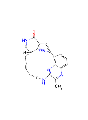 Cc1nc2cccc3c2nc1NCC/C=C\C[C@@H]1CNC(=O)c2cc-3[nH]c21